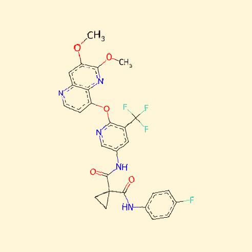 COc1cc2nccc(Oc3ncc(NC(=O)C4(C(=O)Nc5ccc(F)cc5)CC4)cc3C(F)(F)F)c2nc1OC